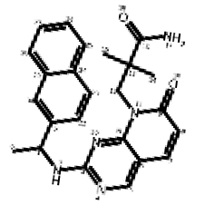 CC(Nc1ncc2ccc(=O)n(CC(C)(C)C(N)=O)c2n1)c1ccc2ccccc2c1